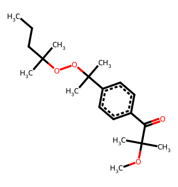 CCCC(C)(C)OOC(C)(C)c1ccc(C(=O)C(C)(C)OC)cc1